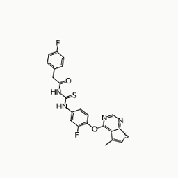 Cc1csc2ncnc(Oc3ccc(NC(=S)NC(=O)Cc4ccc(F)cc4)cc3F)c12